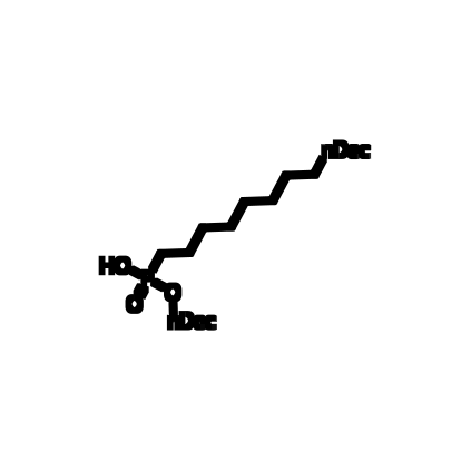 CCCCCCCCCCCCCCCCCCP(=O)(O)OCCCCCCCCCC